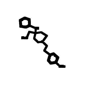 COCC1(Nc2ccccc2)CCN(CCc2ccc(OC)cc2)CC1